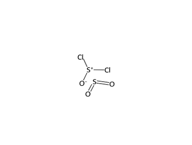 O=S=O.[O-][S+](Cl)Cl